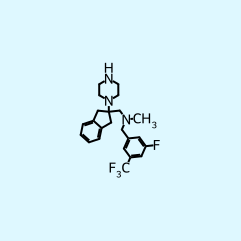 CN(Cc1cc(F)cc(C(F)(F)F)c1)CC1(N2CCNCC2)Cc2ccccc2C1